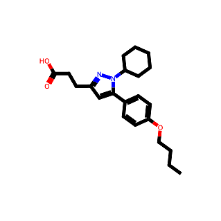 CCCCOc1ccc(-c2cc(CCC(=O)O)nn2C2CCCCC2)cc1